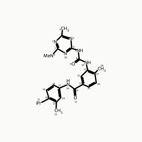 CNc1nc(C)nc(NC(=O)Nc2cc(C(=O)Nc3ccc(C(C)C)c(C)c3)ccc2C)n1